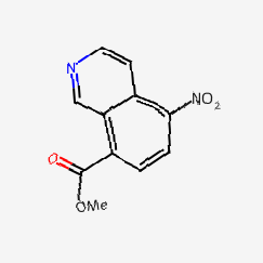 COC(=O)c1ccc([N+](=O)[O-])c2ccncc12